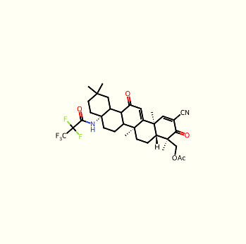 CC(=O)OC[C@]1(C)C(=O)C(C#N)=C[C@]2(C)C3=CC(=O)C4C5CC(C)(C)CC[C@]5(NC(=O)C(F)(F)C(F)(F)F)CCC4[C@]3(C)CC[C@H]21